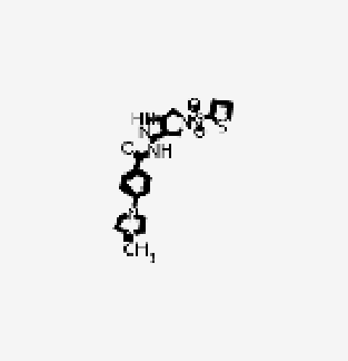 CN1CCN(c2ccc(C(=O)Nc3n[nH]c4c3CN(S(=O)(=O)c3cccs3)C4)cc2)CC1